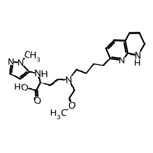 COCCN(CCCCc1ccc2c(n1)NCCC2)CC[C@H](Nc1ccnn1C)C(=O)O